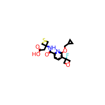 O=C(O)CC1(NC(=O)c2ccc(C3(F)COC3)c(OCC3CC3)n2)CSC1